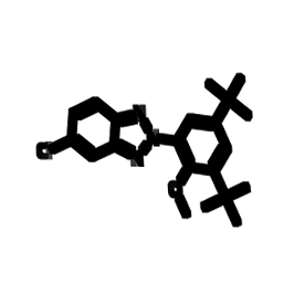 COc1c(-n2nc3ccc(Cl)cc3n2)cc(C(C)(C)C)cc1C(C)(C)C